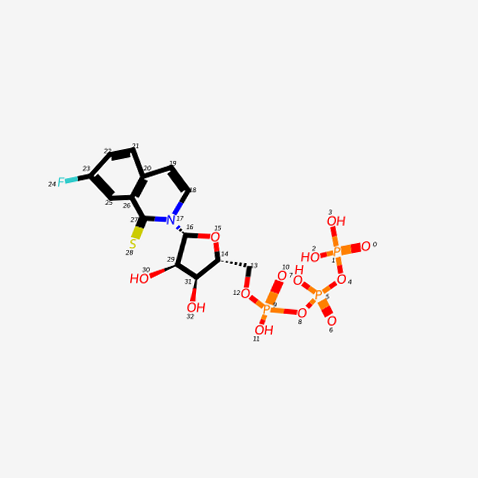 O=P(O)(O)OP(=O)(O)OP(=O)(O)OC[C@H]1O[C@@H](n2ccc3ccc(F)cc3c2=S)[C@H](O)[C@@H]1O